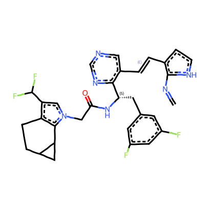 C=Nc1[nH]ccc1/C=C/c1cncnc1[C@H](Cc1cc(F)cc(F)c1)NC(=O)Cn1cc(C(F)F)c2c1C1CC1CC2